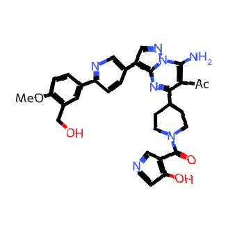 COc1ccc(-c2ccc(-c3cnn4c(N)c(C(C)=O)c(C5CCN(C(=O)c6cnccc6O)CC5)nc34)cn2)cc1CO